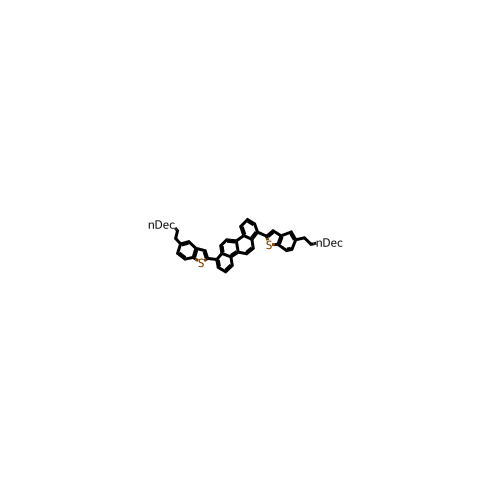 CCCCCCCCCCCCc1ccc2sc(-c3cccc4c3ccc3c5cccc(-c6cc7cc(CCCCCCCCCCCC)ccc7s6)c5ccc43)cc2c1